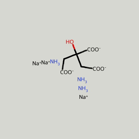 N.N.N.O=C([O-])CC(O)(CC(=O)[O-])C(=O)[O-].[Na+].[Na+].[Na+]